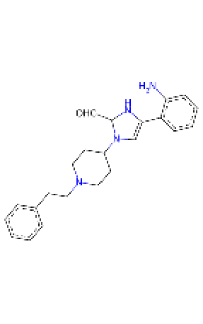 Nc1ccccc1C1=CN(C2CCN(CCc3ccccc3)CC2)C(C=O)N1